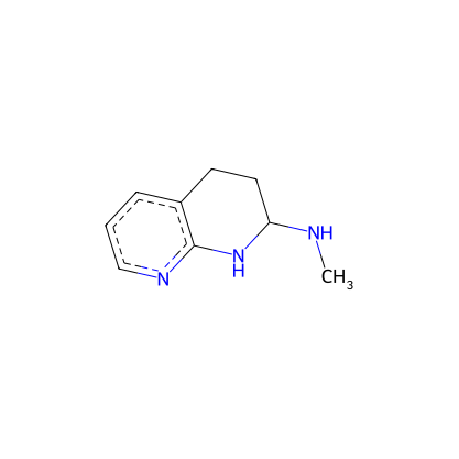 CNC1CCc2cccnc2N1